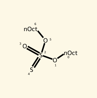 CCCCCCCCOS(=O)(=S)OCCCCCCCC